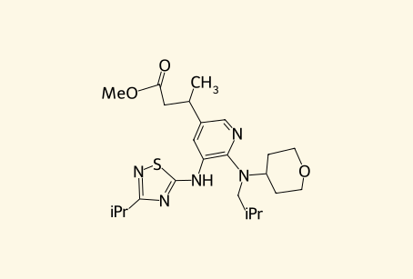 COC(=O)CC(C)c1cnc(N(CC(C)C)C2CCOCC2)c(Nc2nc(C(C)C)ns2)c1